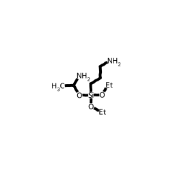 CCO[Si](CCCN)(OCC)OC(C)N